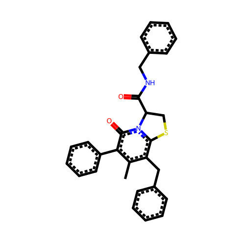 Cc1c(Cc2ccccc2)c2n(c(=O)c1-c1ccccc1)C(C(=O)NCc1ccccc1)CS2